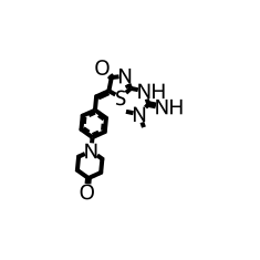 CN(C)C(=N)NC1=NC(=O)C(=Cc2ccc(N3CCC(=O)CC3)cc2)S1